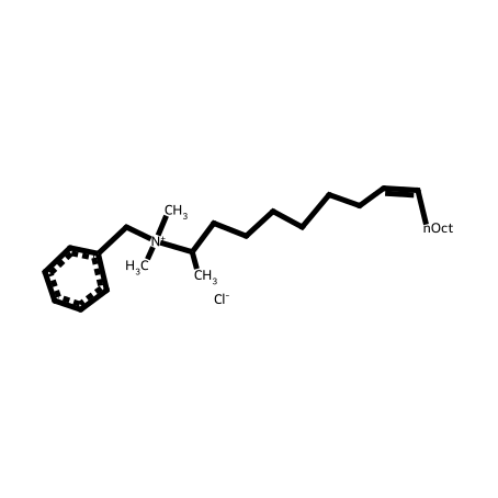 CCCCCCCC/C=C\CCCCCCC(C)[N+](C)(C)Cc1ccccc1.[Cl-]